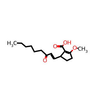 CCCCCCC(=O)C=CC1CCC(OC)=C1C(=O)O